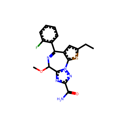 CCc1cc2c(s1)-n1nc(C(N)=O)nc1C(OC)N=C2c1ccccc1F